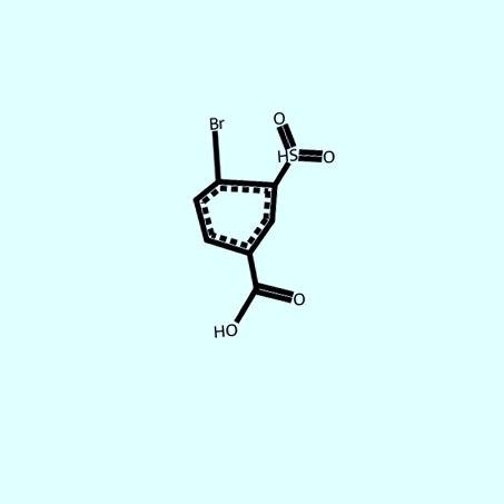 O=C(O)c1ccc(Br)c([SH](=O)=O)c1